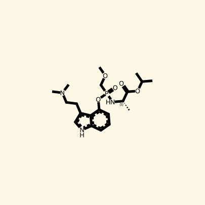 COCP(=O)(N[C@@H](C)C(=O)OC(C)C)Oc1cccc2[nH]cc(CCN(C)C)c12